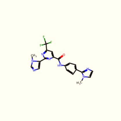 Cn1cncc1-c1nc(C(=O)Nc2ccc(-c3nccn3C)cc2)cc(C(F)(F)F)n1